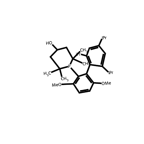 COc1ccc(OC)c(P2C(C)(C)CC(O)CC2(C)C)c1-c1c(C(C)C)cc(C(C)C)cc1C(C)C